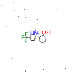 CNC[C@@]1(c2ccc(C(F)(F)F)cc2)CCCC[C@@H]1O